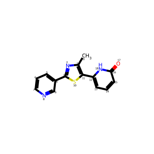 Cc1nc(-c2cccnc2)sc1-c1cccc(=O)[nH]1